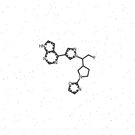 FCC(C1CCN(c2ncco2)C1)n1cc(-c2ncnc3[nH]ccc23)cn1